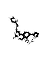 O=C(O)n1cccc1-c1ccc2c(c1)CCn1c-2cc(OCC2CCCO2)nc1=O